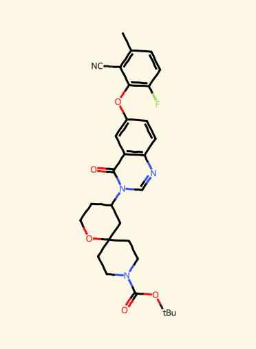 Cc1ccc(F)c(Oc2ccc3ncn(C4CCOC5(CCN(C(=O)OC(C)(C)C)CC5)C4)c(=O)c3c2)c1C#N